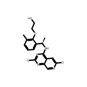 Cc1cccc([C@@H](C)Nc2nc(Cl)nc3cnc(Cl)cc23)c1OCCO